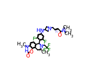 CNc1ccc2c(c1OC=O)C[C@@H](C)N(CC(F)(F)F)C2c1c(F)cc(NC2CN(C/C=C/C(=O)N(C)C)C2)cc1F